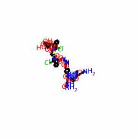 CC(=O)N[C@@H](CCCCN)C(=O)N[C@H](C(=O)N[C@@H](CCCNC(N)=O)C(=O)Nc1ccc(COC(=O)N(C)CCN(C)C(=O)Oc2cc3c(c4ccccc24)[C@H](CCl)CN3C(=O)c2ccc(C(=O)N3C[C@@H](CCl)c4c3cc(O[C@@H]3O[C@H](C(=O)O)[C@@H](O)[C@H](O)[C@H]3O)c3ccccc43)s2)cc1)C(C)C